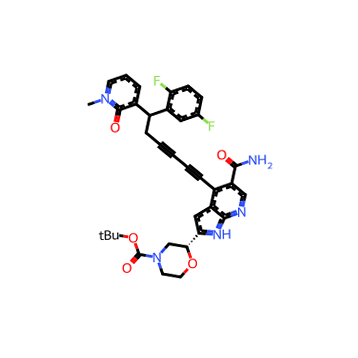 Cn1cccc(C(CC#CC#Cc2c(C(N)=O)cnc3[nH]c([C@H]4CN(C(=O)OC(C)(C)C)CCO4)cc23)c2cc(F)ccc2F)c1=O